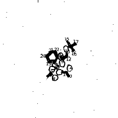 CC(=O)O[Si](OC(C)=O)(OC(=O)COC(C)(C)C)c1ccccc1